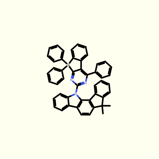 CC1(C)c2ccccc2-c2c1ccc1c3ccccc3n(-c3nc(-c4ccccc4)c4c(n3)[Si](c3ccccc3)(c3ccccc3)c3ccccc3-4)c21